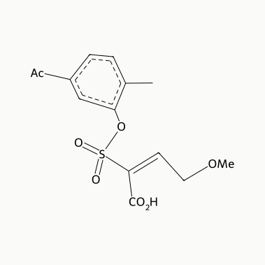 COCC=C(C(=O)O)S(=O)(=O)Oc1cc(C(C)=O)ccc1C